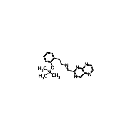 C[Si](C)(C)Oc1ccccc1CCN=Cc1ncc2nccnc2n1